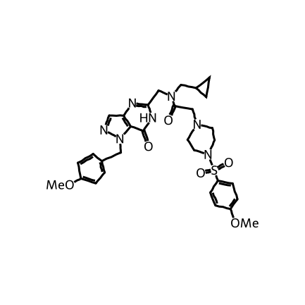 COc1ccc(Cn2ncc3nc(CN(CC4CC4)C(=O)CN4CCN(S(=O)(=O)c5ccc(OC)cc5)CC4)[nH]c(=O)c32)cc1